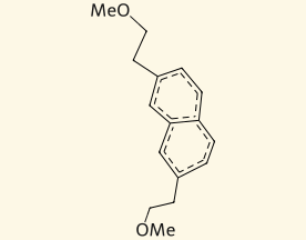 COCCc1ccc2ccc(CCOC)cc2c1